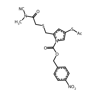 CC(=O)Sc1cc(CSCC(=O)N(C)C#N)n(C(=O)OCc2ccc([N+](=O)[O-])cc2)c1